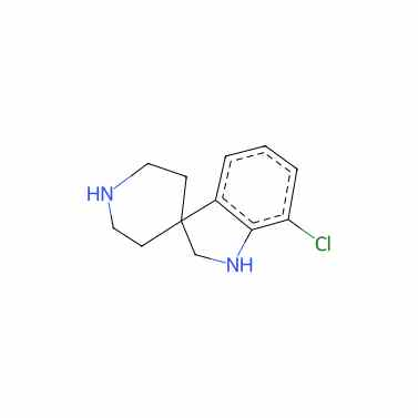 Clc1cccc2c1NCC21CCNCC1